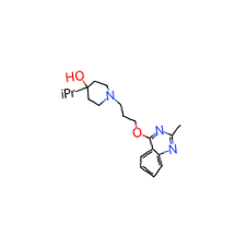 Cc1nc(OCCCN2CCC(O)(C(C)C)CC2)c2ccccc2n1